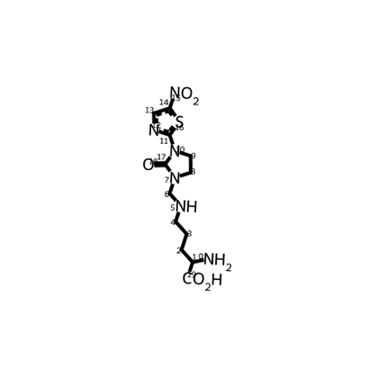 NC(CCCNCN1CCN(c2ncc([N+](=O)[O-])s2)C1=O)C(=O)O